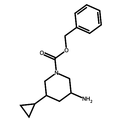 NC1CC(C2CC2)CN(C(=O)OCc2ccccc2)C1